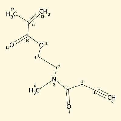 C#CCC(=O)N(C)CCOC(=O)C(=C)C